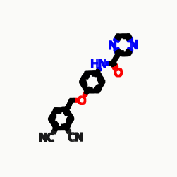 N#Cc1ccc(COc2ccc(NC(=O)c3cnccn3)cc2)cc1C#N